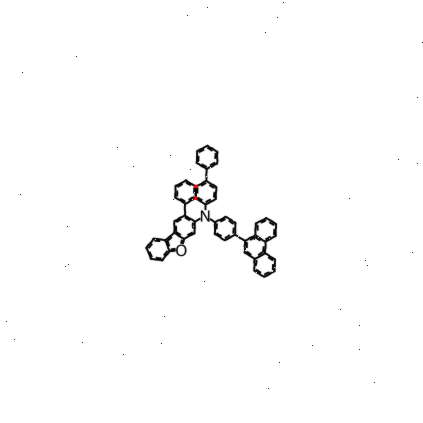 c1ccc(-c2ccc(N(c3ccc(-c4cc5ccccc5c5ccccc45)cc3)c3cc4oc5ccccc5c4cc3-c3ccccc3)cc2)cc1